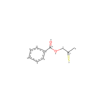 CC(=S)COC(=O)c1ccccc1